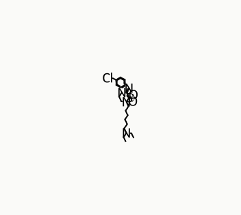 CCN(CC)CCCCCCN1CCn2c(nc3ccc(Cl)cc32)S1(=O)=O